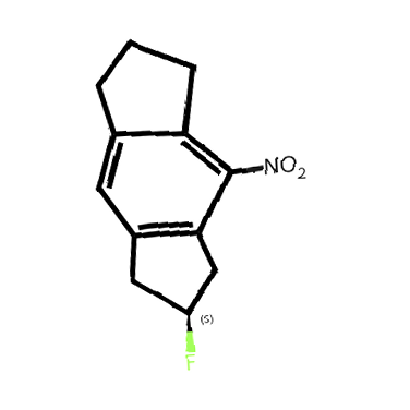 O=[N+]([O-])c1c2c(cc3c1C[C@@H](F)C3)CCC2